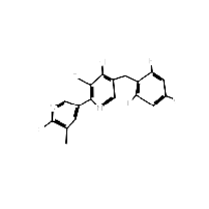 Cc1ncc(-c2ncc(Cc3c(F)cc(Cl)cc3F)c(Cl)c2F)cc1F